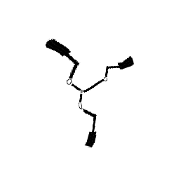 C#CCOP(OCC#C)OCC#C